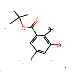 [2H]c1c(Br)cc(I)cc1C(=O)OC(C)(C)C